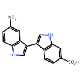 O=C(O)c1ccc2c(-c3c[nH]c4ccc([N+](=O)[O-])cc34)c[nH]c2c1